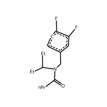 CCCC(=O)N(Cc1ccc(F)c(F)c1)C(CC)CC